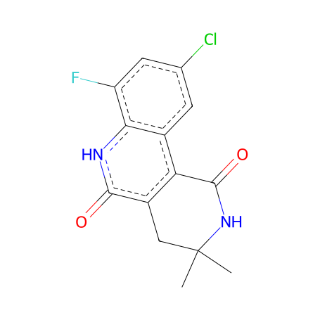 CC1(C)Cc2c(c3cc(Cl)cc(F)c3[nH]c2=O)C(=O)N1